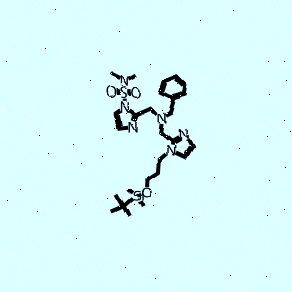 CN(C)S(=O)(=O)n1ccnc1CN(Cc1ccccc1)Cc1nccn1CCCO[Si](C)(C)C(C)(C)C